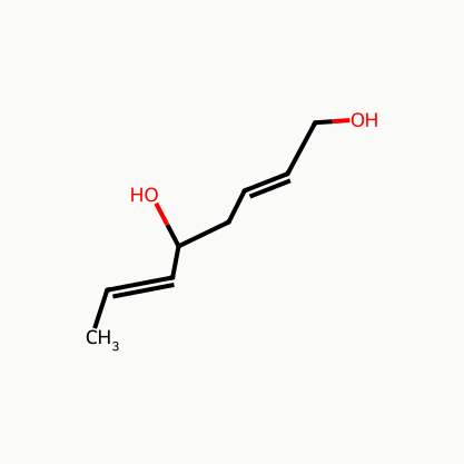 CC=CC(O)CC=CCO